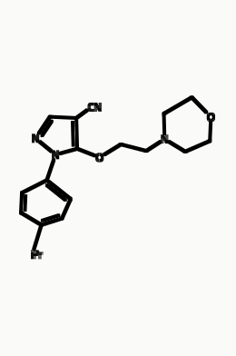 CC(C)c1ccc(-n2ncc(C#N)c2OCCN2CCOCC2)cc1